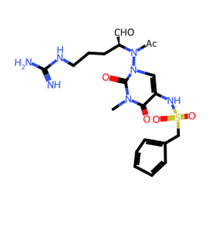 CC(=O)N([C@H](C=O)CCCNC(=N)N)n1cc(NS(=O)(=O)Cc2ccccc2)c(=O)n(C)c1=O